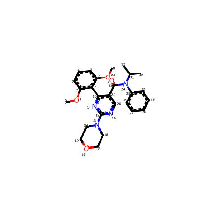 COc1cccc(OC)c1-c1nc(N2CCOCC2)ncc1C(=O)N(c1ccccc1)C(C)C